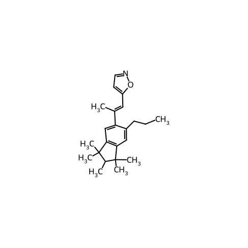 CCCc1cc2c(cc1C(C)=Cc1ccno1)C(C)(C)C(C)C2(C)C